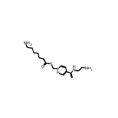 C=C(NCCN)C1=CC=[PH](CSC(=O)CCCCCCN)C=C1